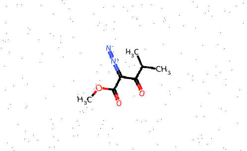 COC(=O)C(=[N+]=[N-])C(=O)C(C)C